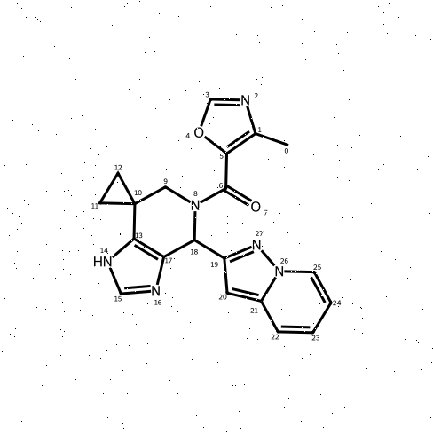 Cc1ncoc1C(=O)N1CC2(CC2)c2[nH]cnc2C1c1cc2ccccn2n1